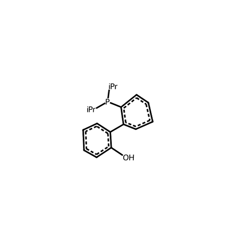 CC(C)P(c1ccccc1-c1ccccc1O)C(C)C